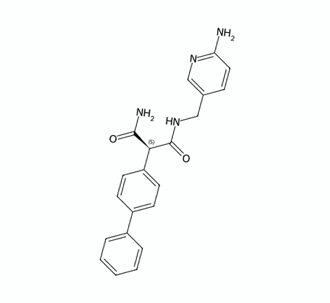 NC(=O)[C@@H](C(=O)NCc1ccc(N)nc1)c1ccc(-c2ccccc2)cc1